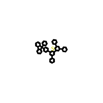 C1=CCCC(c2cc(-c3ccccc3)c3sc4c(-c5ccc(C6(c7ccccc7)c7ccccc7C7C=CC=CC76)cc5)cc(-c5ccccc5)cc4c3c2)=C1